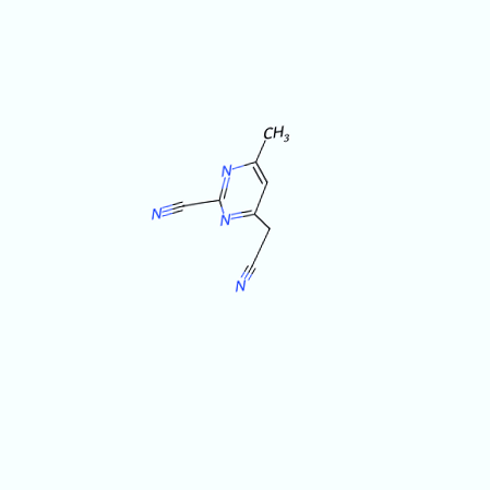 Cc1cc(CC#N)nc(C#N)n1